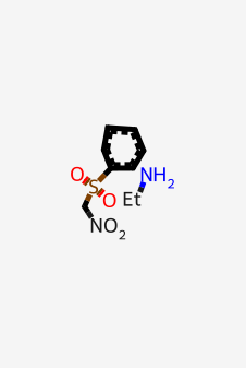 CCN.O=[N+]([O-])CS(=O)(=O)c1ccccc1